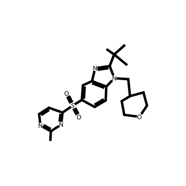 Cc1nccc(S(=O)(=O)c2ccc3c(c2)nc(C(C)(C)C)n3CC2CCOCC2)n1